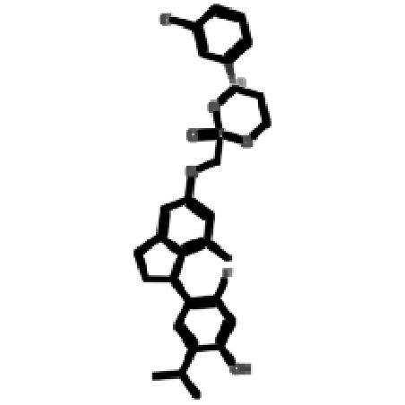 Cc1cc(OCP2(=O)OCC[C@@H](c3cccc(Cl)c3)O2)cc2c1C(c1cc(C(C)C)c(O)cc1F)CC2